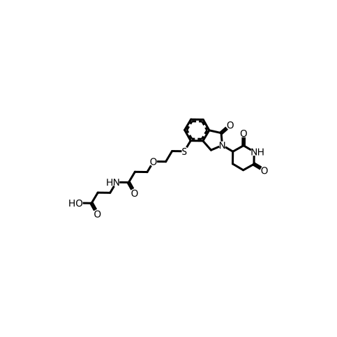 O=C(O)CCNC(=O)CCOCCSc1cccc2c1CN(C1CCC(=O)NC1=O)C2=O